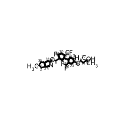 C[C@@H]1Cc2cnc(OCc3cc(-c4ccc(OCCC(C)(C)O)cc4C(F)F)c(C(F)(F)F)cc3F)cc2C1